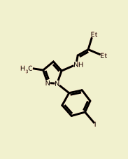 CCC(=CNc1cc(C)nn1-c1ccc(I)cc1)CC